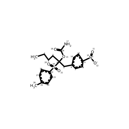 CCCCC(Cc1ccc([N+](=O)[O-])cc1)(OC(N)=O)S(=O)(=O)c1ccc(C)cc1